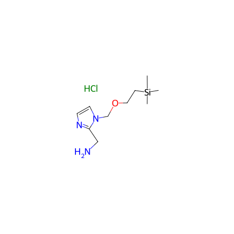 C[Si](C)(C)CCOCn1ccnc1CN.Cl